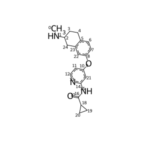 CNC1CCc2ccc(Oc3ccnc(NC(=O)C4CC4)c3)cc2C1